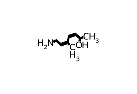 CC(/C=C\C(C)O)=C/CN